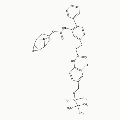 CN1C2CC(OC(=O)Nc3cc(CCC(=O)Nc4ccc(CO[Si](C)(C)C(C)(C)C)cc4Cl)ccc3-c3ccccc3)CC1C1OC12